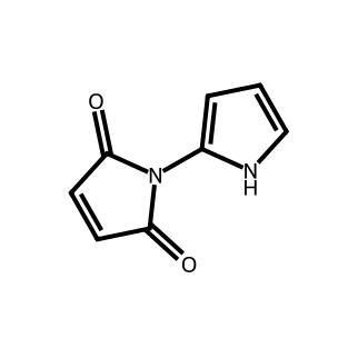 O=C1C=CC(=O)N1c1ccc[nH]1